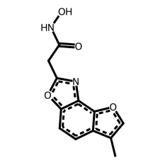 Cc1coc2c1ccc1oc(CC(=O)NO)nc12